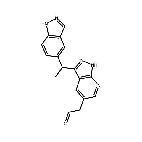 CC(c1ccc2[nH]ncc2c1)c1n[nH]c2ncc(CC=O)cc12